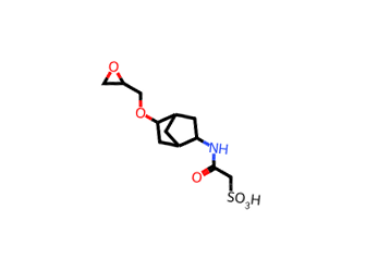 O=C(CS(=O)(=O)O)NC1CC2CC1CC2OCC1CO1